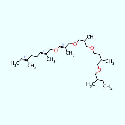 C/C=C(\C)CC/C=C(\C)CO/C=C(\C)COCC(C)COCCC(C)COCC(C)CC